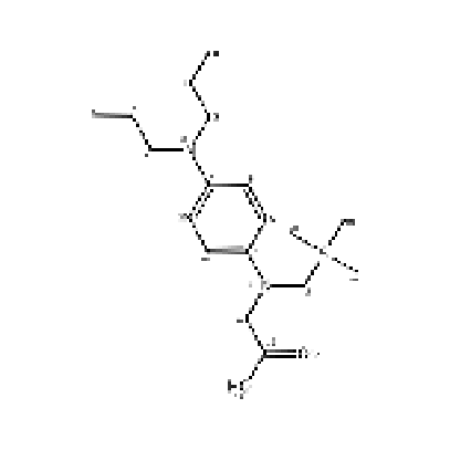 CCCN(CCC)c1ccc(N(CC(=O)O)C[Si](C)(C)C)cc1